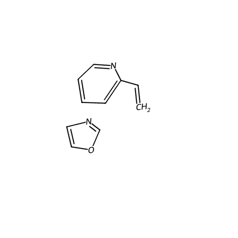 C=Cc1ccccn1.c1cocn1